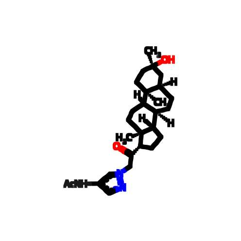 CC(=O)Nc1cnn(CC(=O)[C@H]2CC[C@H]3[C@@H]4CC[C@@H]5C[C@](C)(O)CC[C@]5(C)[C@H]4CC[C@]23C)c1